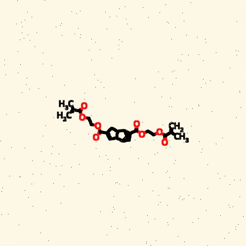 C=C(C)C(=O)OCCOC(=O)C1=CC2C3C=C(C(=O)OCCOC(=O)C(=C)C)C(C3)C2C1